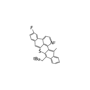 Cc1c2c(c(CC(C)(C)C)c3ccccc13)Sc1cc3ccc(F)cc3c3cc[n+](C)c-2c13